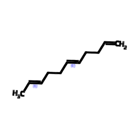 C=CCC/C=C/CC/C=C/C